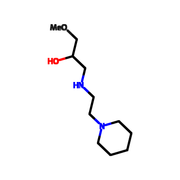 COCC(O)CNCCN1CCCCC1